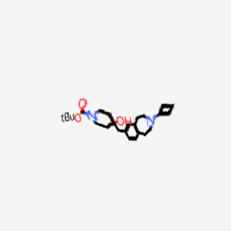 CC(C)(C)OC(=O)N1CCC(O)(Cc2ccc3c(c2)CCN(C2=CC=C2)CC3)CC1